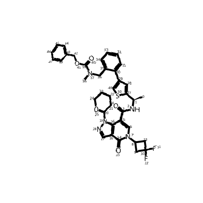 C[C@@H](NC(=O)c1cn(C2CC(F)(F)C2)c(=O)c2cnn(C3CCCCO3)c12)c1cc(-c2ccccc2CN(C)C(=O)OCc2ccccc2)cs1